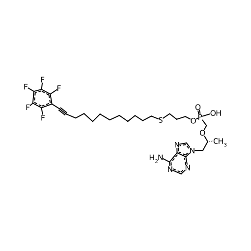 C[C@H](Cn1cnc2c(N)ncnc21)OCP(=O)(O)OCCCSCCCCCCCCCCC#Cc1c(F)c(F)c(F)c(F)c1F